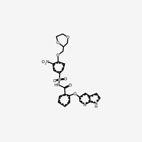 O=C(NS(=O)(=O)c1ccc(OCC2COCCO2)c([N+](=O)[O-])c1)c1ccccc1Oc1cnc2[nH]ccc2c1